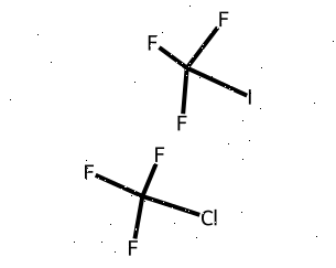 FC(F)(F)Cl.FC(F)(F)I